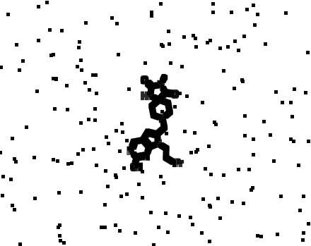 CC(C)CCn1c(CN2CCC3(CC2)NC(=O)N(C)C3=O)cc2cnc(C#N)nc21